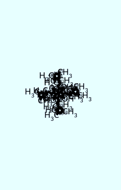 Cc1cc(C)c(O)c(C(C)(C)CCC(CC(CC(CCC(C)(C)c2cc(C)cc(C)c2O)C(=O)O)(CC(CCC(C)(C)c2cc(C)cc(C)c2O)C(=O)O)CC(CCC(C)(C)c2cc(C)cc(C)c2O)C(=O)O)C(=O)O)c1